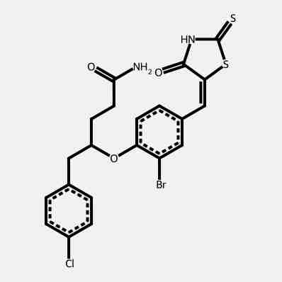 NC(=O)CCC(Cc1ccc(Cl)cc1)Oc1ccc(C=C2SC(=S)NC2=O)cc1Br